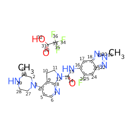 C[C@@H]1CN(c2ccnc3c2CCN3C(=O)Nc2cc3nn(C)nc3cc2F)CCN1.O=C(O)C(F)(F)F